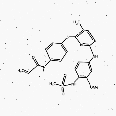 C=CC(=O)Nc1ccc(Sc2nc(Nc3ccc(NS(C)(=O)=O)c(OC)c3)ncc2C)cc1